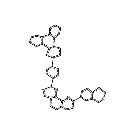 c1ccc2c(c1)c1ccccc1c1cc(-c3ccc(-c4ccc5ccc6ccc(-c7ccc8ccncc8c7)nc6c5n4)cc3)ccc21